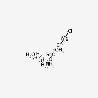 N.O.O.O.O.O.O.[Cl][Mg][Cl]